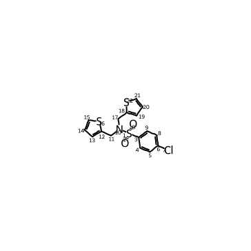 O=S(=O)(c1ccc(Cl)cc1)N(Cc1cccs1)Cc1cccs1